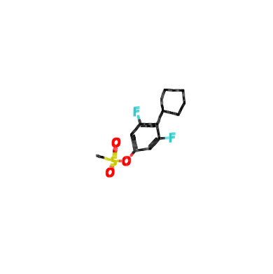 CS(=O)(=O)Oc1cc(F)c(C2CCCCC2)c(F)c1